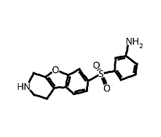 Nc1cccc(S(=O)(=O)c2ccc3c4c(oc3c2)CNCC4)c1